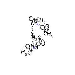 CN(C/C=C/c1ccc2c(c1)OCCN2C)c1ccccc1NCCCCSSCCCC[n+]1c(/C=C/c2ccc3c(c2)OCCN3C)n(C)c2ccccc21